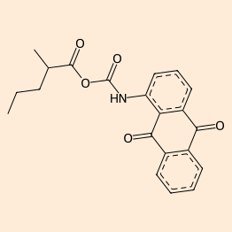 CCCC(C)C(=O)OC(=O)Nc1cccc2c1C(=O)c1ccccc1C2=O